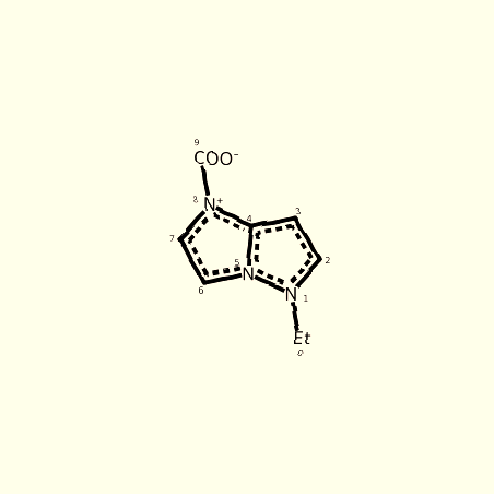 CCn1ccc2n1cc[n+]2C(=O)[O-]